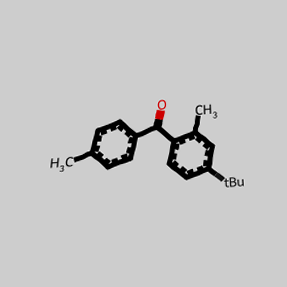 Cc1ccc(C(=O)c2ccc(C(C)(C)C)cc2C)cc1